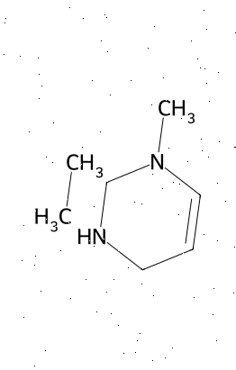 CC.CN1C=CCNC1